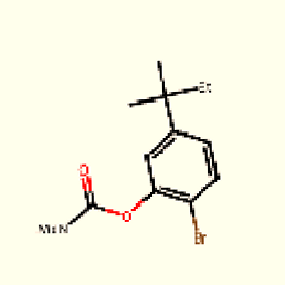 CCC(C)(C)c1ccc(Br)c(OC(=O)NC)c1